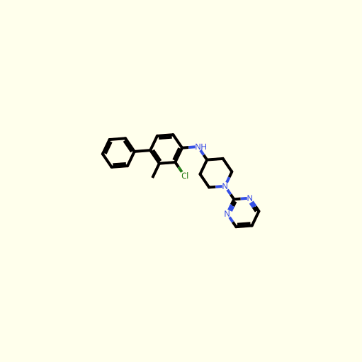 Cc1c(-c2ccccc2)ccc(NC2CCN(c3ncccn3)CC2)c1Cl